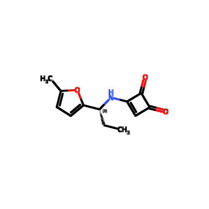 CC[C@@H](Nc1cc(=O)c1=O)c1ccc(C)o1